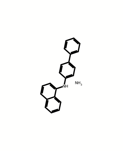 N.c1ccc(-c2ccc(Nc3cccc4ccccc34)cc2)cc1